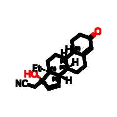 CC[C@]12CC[C@H]3[C@@H](CCC4=CC(=O)CC[C@@H]43)[C@@H]1C=C[C@@]2(O)CC#N